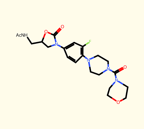 CC(=O)NCC1CN(c2ccc(N3CCN(C(=O)N4CCOCC4)CC3)c(F)c2)C(=O)O1